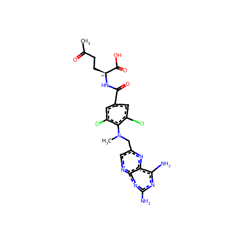 CC(=O)CC[C@H](NC(=O)c1cc(Cl)c(N(C)Cc2cnc3nc(N)nc(N)c3n2)c(Cl)c1)C(=O)O